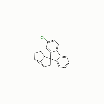 Clc1ccc2c(c1)C1(CC3C4CCC1C43)c1ccccc1-2